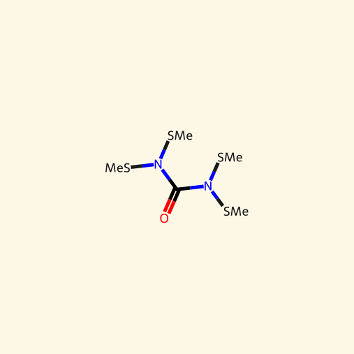 CSN(SC)C(=O)N(SC)SC